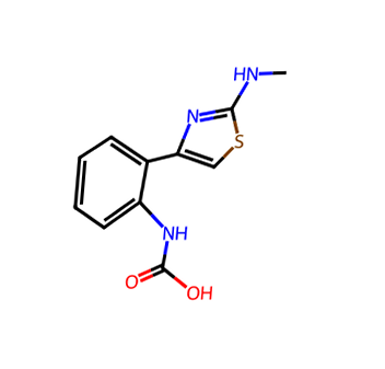 CNc1nc(-c2ccccc2NC(=O)O)cs1